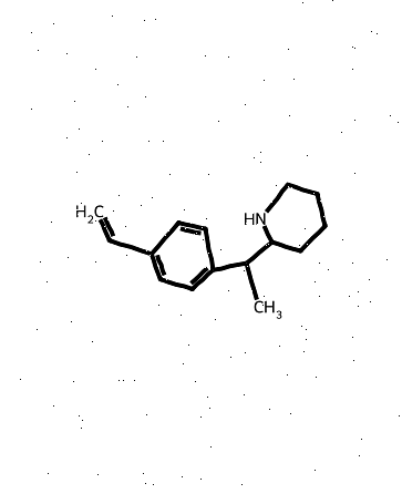 C=Cc1ccc(C(C)C2CCCCN2)cc1